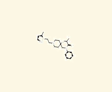 Cc1ccnn1CCN1CCC2(CC1)CN(c1ccccc1)C(=O)C(C)O2